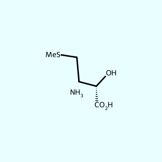 CSCC[C@H](O)C(=O)O.N